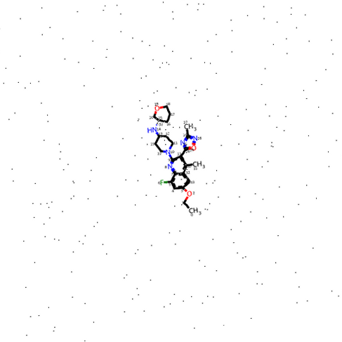 CCOc1cc(F)c2nc(N3CCC(N[C@H]4CCCOC4)CC3)c(-c3nc(C)no3)c(C)c2c1